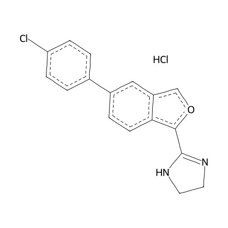 Cl.Clc1ccc(-c2ccc3c(C4=NCCN4)occ3c2)cc1